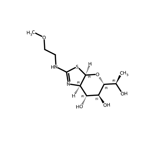 COCCNC1=N[C@@H]2[C@@H](O)[C@H](O)[C@@H]([C@@H](C)O)O[C@@H]2S1